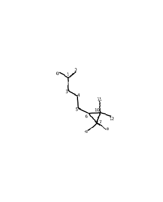 CC(C)CCCC1C(C)(C)C1(C)C